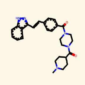 CN1CCC(C(=O)N2CCN(C(=O)c3ccc(/C=C/c4n[nH]c5ccccc45)cc3)CC2)CC1